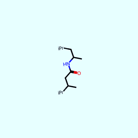 CC(C)CC(C)NC(=O)CC(C)C(C)C